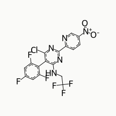 O=[N+]([O-])c1ccc(-c2nc(Cl)c(-c3c(F)cc(F)cc3F)c(NCC(F)(F)F)n2)nc1